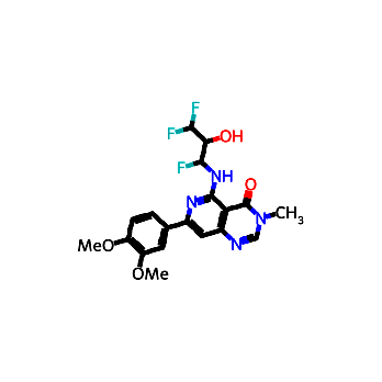 COc1ccc(-c2cc3ncn(C)c(=O)c3c(NC(F)C(O)C(F)F)n2)cc1OC